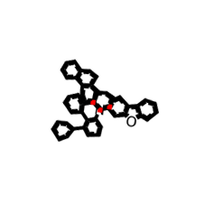 c1ccc(-c2ccccc2-c2c(-c3ccccc3)cccc2N(c2ccc3c(ccc4ccccc43)c2)c2ccc3c(c2)oc2ccccc23)cc1